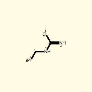 CC(C)CNC(=N)Cl